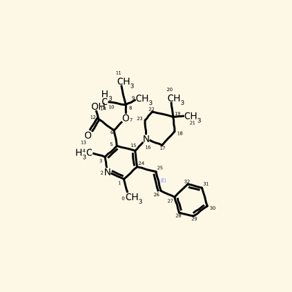 Cc1nc(C)c(C(OC(C)(C)C)C(=O)O)c(N2CCC(C)(C)CC2)c1/C=C/c1ccccc1